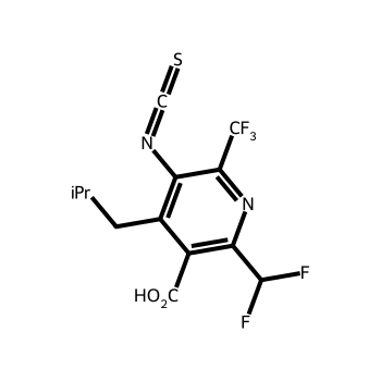 CC(C)Cc1c(N=C=S)c(C(F)(F)F)nc(C(F)F)c1C(=O)O